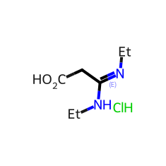 CC/N=C(\CC(=O)O)NCC.Cl